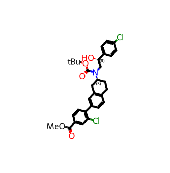 COC(=O)c1ccc(-c2ccc3c(c2)C[C@@H](N(C[C@H](O)c2ccc(Cl)cc2)C(=O)OC(C)(C)C)CC3)c(Cl)c1